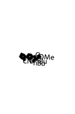 CCCCC(=O)N(Cc1ccc(-c2ccccc2C#N)cc1)[C@H](C(=O)OC)C(C)CC